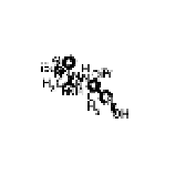 CCC(C)S(=O)(=O)c1ccccc1Nc1nc(Nc2cc(C)c(C3CCN(CCO)CC3)cc2OC(C)C)nc2[nH]nc(C)c12